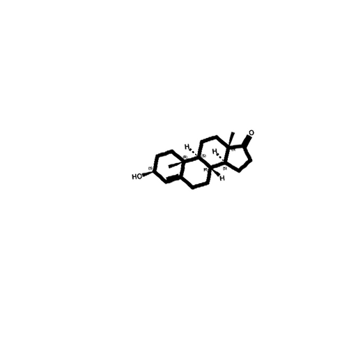 C[C@]12CC[C@H](O)C=C1CC[C@@H]1[C@@H]2CC[C@]2(C)C(=O)CC[C@@H]12